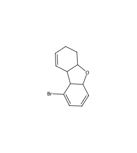 BrC1=CC=CC2OC3CCC=CC3C12